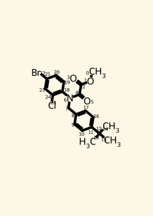 COC(=O)C(=O)N(Cc1ccc(C(C)(C)C)cc1)c1ccc(Br)cc1Cl